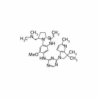 C=CC(=O)Nc1cc(Nc2ncnc(N3CC(C)(C)c4nc(C)ccc43)n2)c(OC)cc1N1CCC[C@@H]1CN(C)C